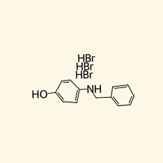 Br.Br.Br.Oc1ccc(NCc2ccccc2)cc1